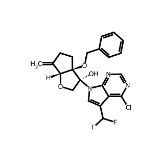 C=C1CC[C@@]2(OCc3ccccc3)[C@@H]1OC[C@]2(O)n1cc(C(F)F)c2c(Cl)ncnc21